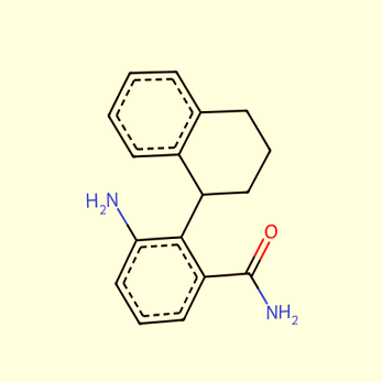 NC(=O)c1cccc(N)c1C1CCCc2ccccc21